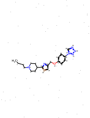 CCCCN1CCC(c2nc(COc3ccc(-n4cnnn4)cc3)cs2)CC1